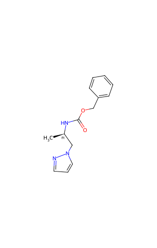 C[C@H](Cn1cccn1)NC(=O)OCc1ccccc1